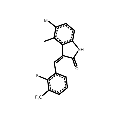 Cc1c(Br)ccc2c1C(=Cc1cccc(C(F)(F)F)c1F)C(=O)N2